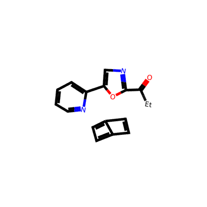 CCC(=O)c1ncc(-c2ccccn2)o1.c1cc2ccc1-2